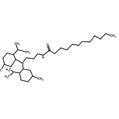 CCCCCCCCCCCC(=O)NCCCN(C1CC(C)CCC1C(C)C)C1CC(C)CCC1C(C)C